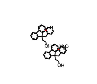 O.OCCC1(Cc2ccncc2)c2ccccc2-c2ccccc21.OCCC1(Cc2ccncc2)c2ccccc2-c2ccccc21